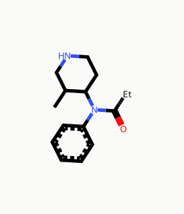 CCC(=O)N(c1ccccc1)C1CCNCC1C